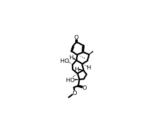 COCC(=O)[C@@]1(O)CC[C@H]2[C@@H]3C[C@H](C)C4=CC(=O)C=C[C@]4(C)[C@H]3[C@@H](O)C[C@@]21C